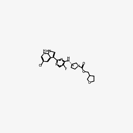 O=C(OCC1CCOC1)N1CC[C@H](Nc2nc(C3=CNC4NC=C(Cl)C=C34)ncc2F)C1